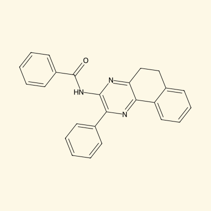 O=C(Nc1nc2c(nc1-c1ccccc1)-c1ccccc1CC2)c1ccccc1